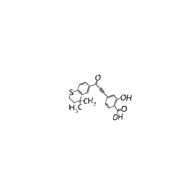 CC1(C)CCSc2ccc(C(=O)C#Cc3ccc(C(=O)O)c(O)c3)cc21